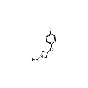 SN1CC(Oc2ccc(Cl)cc2)C1